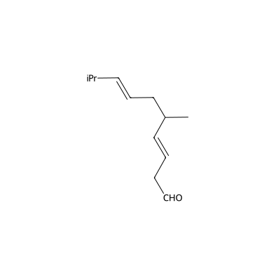 CC(C)C=CCC(C)C=CCC=O